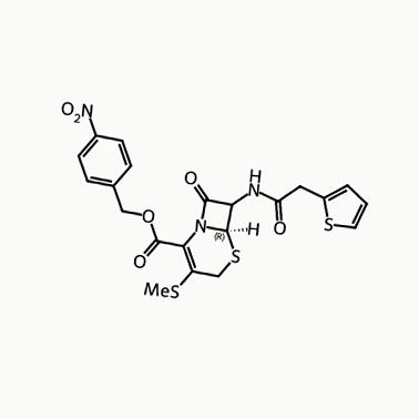 CSC1=C(C(=O)OCc2ccc([N+](=O)[O-])cc2)N2C(=O)C(NC(=O)Cc3cccs3)[C@H]2SC1